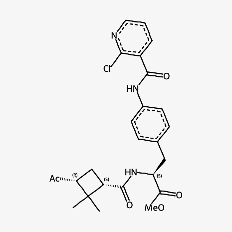 COC(=O)[C@H](Cc1ccc(NC(=O)c2cccnc2Cl)cc1)NC(=O)[C@H]1C[C@@H](C(C)=O)C1(C)C